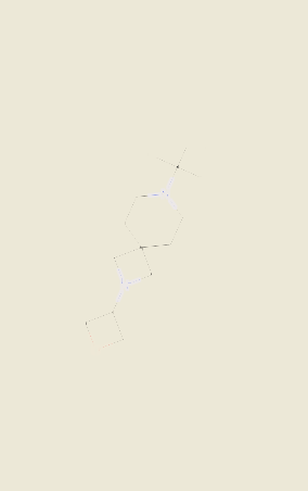 CC(C)(C)N1CCC2(CC1)CN(C1COC1)C2